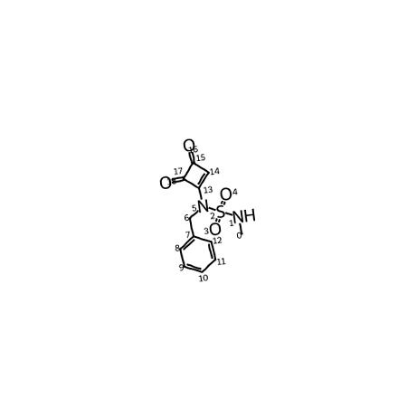 CNS(=O)(=O)N(Cc1ccccc1)c1cc(=O)c1=O